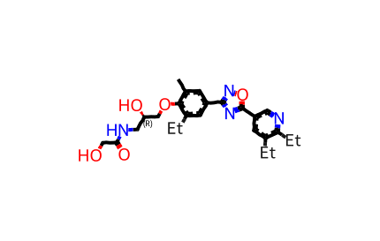 CCc1cc(-c2nc(-c3cc(C)c(OC[C@H](O)CNC(=O)CO)c(CC)c3)no2)cnc1CC